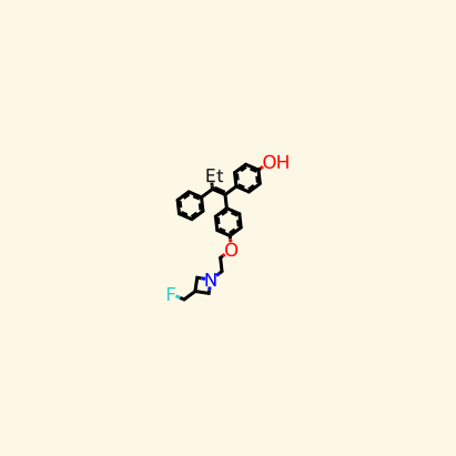 CC/C(=C(\c1ccc(O)cc1)c1ccc(OCCN2CC(CF)C2)cc1)c1ccccc1